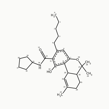 CCCCCc1cc2c(c(O)c1C(=O)NC1CCCC1)C1C=C(C)CCC1C(C)(C)O2